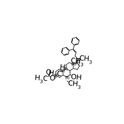 CC[C@H]1C(O)C2C3CC[C@H]([C@H](C)CC=C(c4ccccc4)c4ccccc4)[C@@]3(C)CC[C@@H]2[C@@]2(C)CC[C@@H](OC(C)=O)CC12